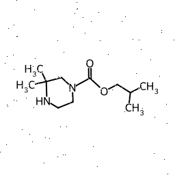 CC(C)COC(=O)N1CCNC(C)(C)C1